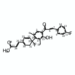 Cc1cc(C(=O)/C=C/c2ccc(F)cc2)c(O)c(C)c1C1(F)C=CC(/C=C/C(=O)O)=CC1